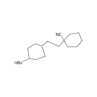 CCCCC1CCC(CCC2(C#N)CCCCC2)CC1